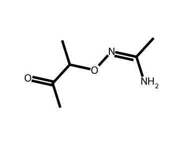 CC(=O)C(C)ON=C(C)N